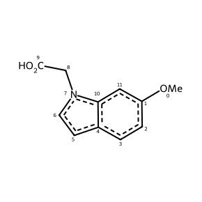 COc1ccc2ccn(CC(=O)O)c2c1